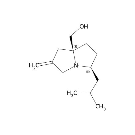 C=C1CN2[C@H](CC(C)C)CC[C@@]2(CO)C1